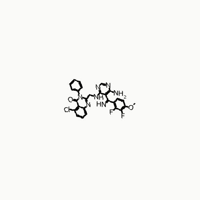 COc1ccc(C(=N)c2c(N)ncnc2NCc2nc3cccc(Cl)c3c(=O)n2-c2ccccc2)c(F)c1F